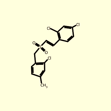 Cc1ccc(CS(=O)(=O)C=Cc2ccc(Cl)cc2Cl)c(Cl)c1